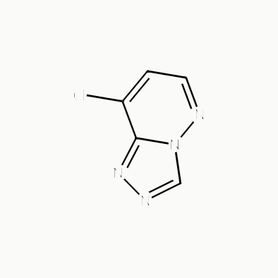 Clc1ccnn2cnnc12